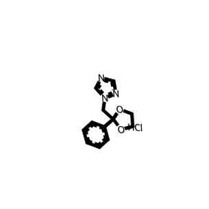 Cl.c1ccc(C2(Cn3cncn3)OCCO2)cc1